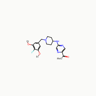 CCOc1cc(CN2CCC(Nc3cnc(C(=O)OC)cn3)CC2)cc(OCC)c1F